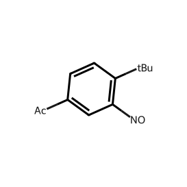 CC(=O)c1ccc(C(C)(C)C)c(N=O)c1